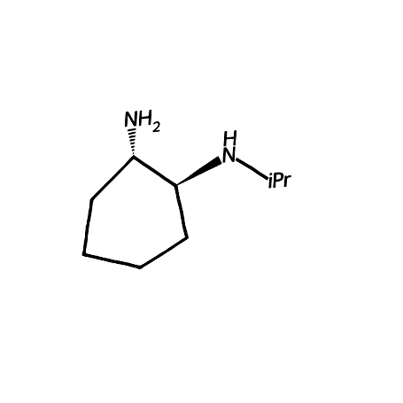 CC(C)N[C@H]1CCCC[C@@H]1N